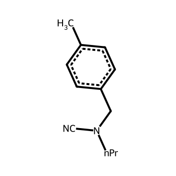 CCCN(C#N)Cc1ccc(C)cc1